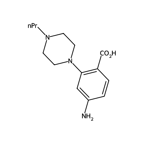 CCCN1CCN(c2cc(N)ccc2C(=O)O)CC1